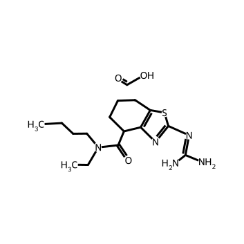 CCCCN(CC)C(=O)C1CCCc2sc(N=C(N)N)nc21.O=CO